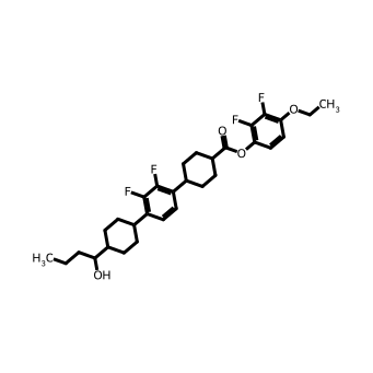 CCCC(O)C1CCC(c2ccc(C3CCC(C(=O)Oc4ccc(OCC)c(F)c4F)CC3)c(F)c2F)CC1